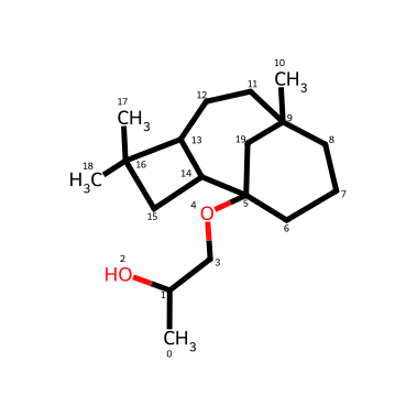 CC(O)COC12CCCC(C)(CCC3C1CC3(C)C)C2